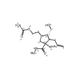 C=CCC1[C@@H](CO)N(CCOC(N)=O)CC1(NC(C)=O)C(=O)NC(C)(C)C